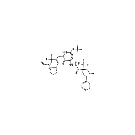 C=CC[C@@H]1CCCN1c1nc(C(=O)NNC(=O)C(CC=C)(OCc2ccccc2)C(F)(F)F)c(NC(=O)OC(C)(C)C)cc1C(F)(F)F